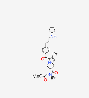 COC(=O)CN(C(=O)c1ccn2c(C(=O)c3ccc(CCCNC4CCCC4)cc3)c(C(C)C)cc2c1)C(C)C